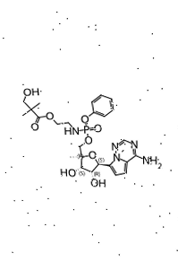 CC(C)(CO)C(=O)OCCNP(=O)(OC[C@@]1(C)O[C@@H](c2ccc3c(N)ncnn23)[C@H](O)[C@@H]1O)Oc1ccccc1